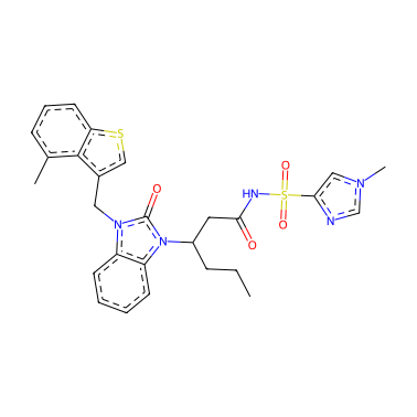 CCCC(CC(=O)NS(=O)(=O)c1cn(C)cn1)n1c(=O)n(Cc2csc3cccc(C)c23)c2ccccc21